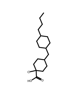 CCCCC1CCC(CC2CCC(Cl)(C(=O)O)CC2)CC1